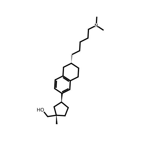 CN(C)CCCCC[C@@H]1CCc2cc([C@H]3CC[C@](C)(CO)C3)ccc2C1